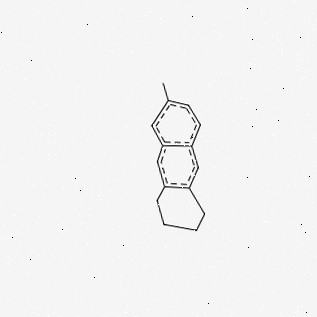 Cc1ccc2cc3c(cc2c1)CCCC3